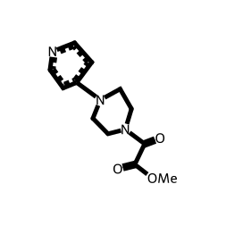 COC(=O)C(=O)N1CCN(c2ccncc2)CC1